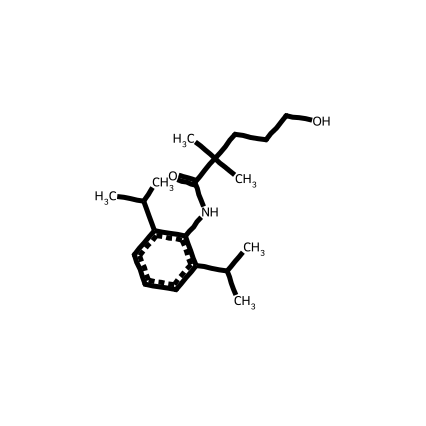 CC(C)c1cccc(C(C)C)c1NC(=O)C(C)(C)CCCO